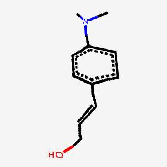 CN(C)c1ccc(C=CCO)cc1